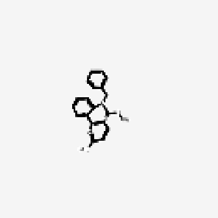 CC(C)(C)OC(=O)N(Cc1ccccc1)c1ccccc1-c1cccc(C=O)n1